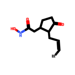 CC/C=C\CC1C(=O)CCC1CC(=O)NO